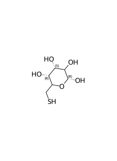 OC1[C@H](O)OC(CS)[C@H](O)[C@@H]1O